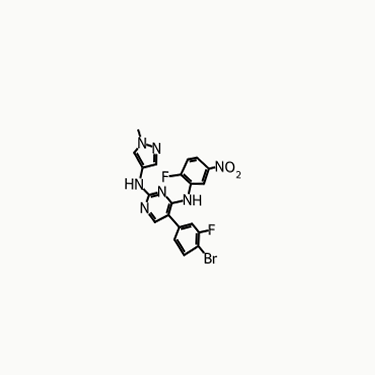 Cn1cc(Nc2ncc(-c3ccc(Br)c(F)c3)c(Nc3cc([N+](=O)[O-])ccc3F)n2)cn1